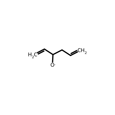 C=CCC([O])C=C